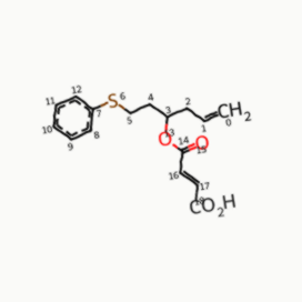 C=CCC(CCSc1ccccc1)OC(=O)C=CC(=O)O